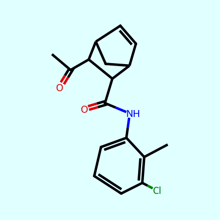 CC(=O)C1C2C=CC(C2)C1C(=O)Nc1cccc(Cl)c1C